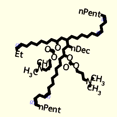 CC/C=C\CCCCCCC(CC(CCCCC/C=C\C/C=C\CCCCC)C(CCCCCCCCCC)CC(CCCCCCC/C=C\C/C=C\CCCCC)OC(=O)OCCCN(C)C)OC(=O)OCCCN(C)C